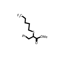 COC(=O)C(CC(C)C)SCCCCC(F)(F)F